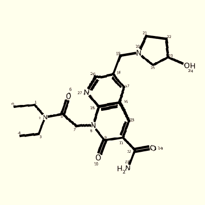 CCN(CC)C(=O)Cn1c(=O)c(C(N)=O)cc2cc(CN3CCC(O)C3)cnc21